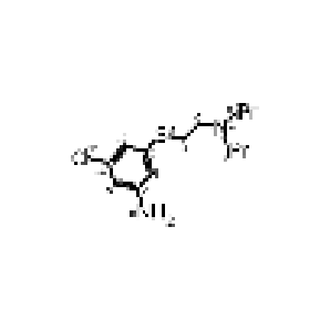 CC(C)N(CCSc1cc(N)cc(Cl)c1)C(C)C